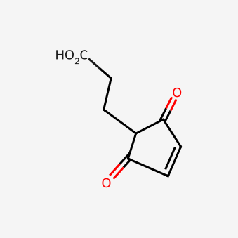 O=C(O)CCC1C(=O)C=CC1=O